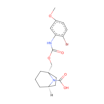 COc1ccc(Br)c(NC(=O)OC[C@]23CCC[C@H](CC2)N3C(=O)O)c1